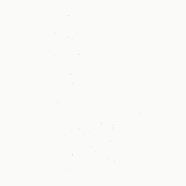 CC1(C)c2ccccc2C2(c3ccccc3-n3c4ccccc4c4cccc2c43)c2cc(-c3ccc(-c4ccc(-n5c6ccccc6c6ccccc65)cc4)cc3)ccc21